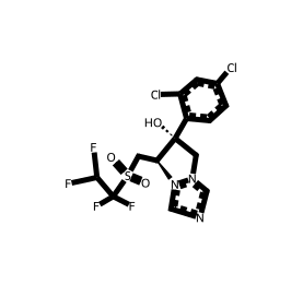 C[C@@H](CS(=O)(=O)C(F)(F)C(F)F)[C@](O)(Cn1cncn1)c1ccc(Cl)cc1Cl